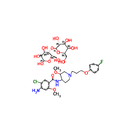 COc1cc(N)c(Cl)cc1C(=O)NC1CCN(CCCOc2ccc(F)cc2)CC1OC.OC[C@H]1O[C@@H](O[C@H]2[C@H](O)[C@@H](O)[C@H](O)O[C@@H]2CO)[C@H](O)[C@@H](O)[C@H]1O